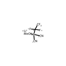 CO[B-](C#N)(C#N)C(F)(F)C(F)(F)F.[Li+]